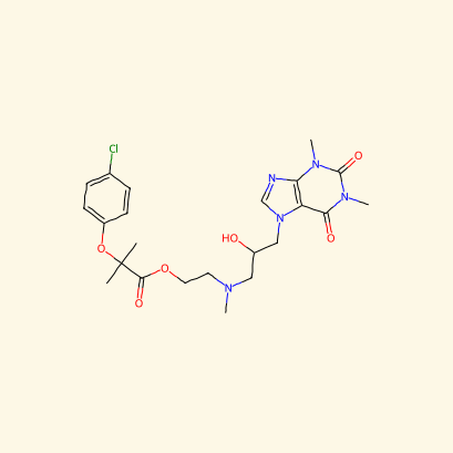 CN(CCOC(=O)C(C)(C)Oc1ccc(Cl)cc1)CC(O)Cn1cnc2c1c(=O)n(C)c(=O)n2C